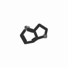 C1=C[N+]=C2CCOC2=C1